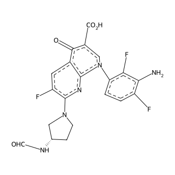 Nc1c(F)ccc(-n2cc(C(=O)O)c(=O)c3cc(F)c(N4CC[C@H](NC=O)C4)nc32)c1F